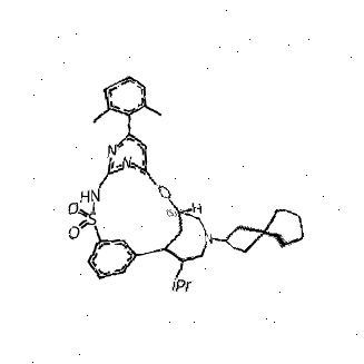 Cc1cccc(C)c1-c1cc2nc(n1)NS(=O)(=O)c1cccc(c1)C1C[C@@H](CN(C3CC4(CCCC4)C3)CC1C(C)C)O2